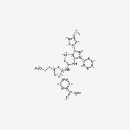 COCCN1C[C@@H](NC(=O)Nc2c(C)c(-c3cnn(C)c3)nn2-c2ccccc2)[C@H](c2ccc(C(=O)OC)cc2)C1